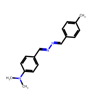 Cc1ccc(/C=N/N=C/c2ccc(N(C)C)cc2)cc1